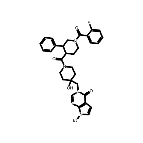 CCn1ccc2c(=O)n(CC3(O)CCN(C(=O)C4CCN(C(=O)c5ccccc5F)CC4c4ccccc4)CC3)cnc21